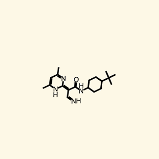 CC1=CC(C)=N/C(=C(/C=N)C(=O)NC2CCC(C(C)(C)C)CC2)N1